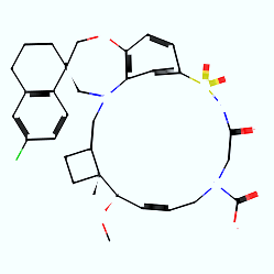 CO[C@@H]1/C=C\CN(C(=O)O)[C@@H](C)C(=O)NS(=O)(=O)c2ccc3c(c2)N(C[C@@H]2CC[C@H]21)C[C@@]1(CCCc2cc(Cl)ccc21)CO3